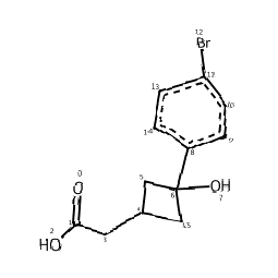 O=C(O)CC1CC(O)(c2ccc(Br)cc2)C1